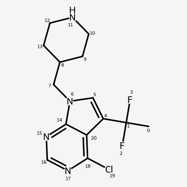 CC(F)(F)c1cn(CC2CCNCC2)c2ncnc(Cl)c12